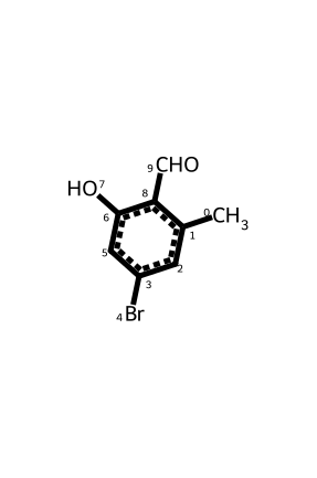 Cc1cc(Br)cc(O)c1C=O